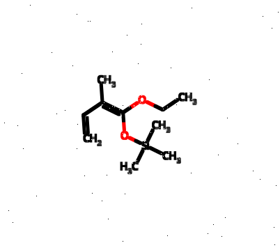 C=CC(C)=C(OCC)O[Si](C)(C)C